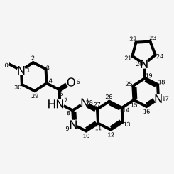 CN1CCC(C(=O)Nc2ncc3ccc(-c4cncc(N5CCCC5)c4)cc3n2)CC1